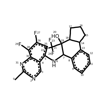 Cc1ncc2c(NC3c4ccccc4C4CCCC4C3(O)C(F)(F)F)cc(F)c(F)c2n1